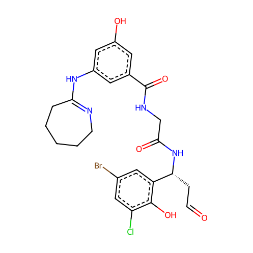 O=CC[C@@H](NC(=O)CNC(=O)c1cc(O)cc(NC2=NCCCCC2)c1)c1cc(Br)cc(Cl)c1O